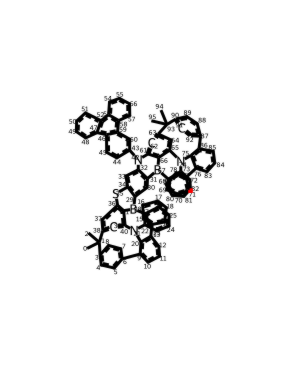 CC1(C)c2ccc(cc2)-c2cccc(-c3ccccc3)c2N2c3ccccc3B3c4cc5c(cc4Sc4cc1cc2c43)N(c1ccc2c3ccccc3c3ccccc3c2c1)c1cc2cc3c1B5c1ccccc1N3c1c(-c3ccccc3)cccc1-c1ccc(cc1)C2(C)C